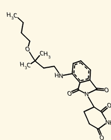 CCCCOC(C)(C)CCNc1cccc2c1C(=O)N(C1CCC(=O)NC1=O)C2=O